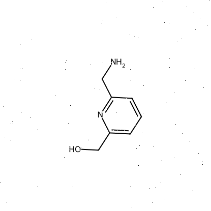 NCc1cccc(CO)n1